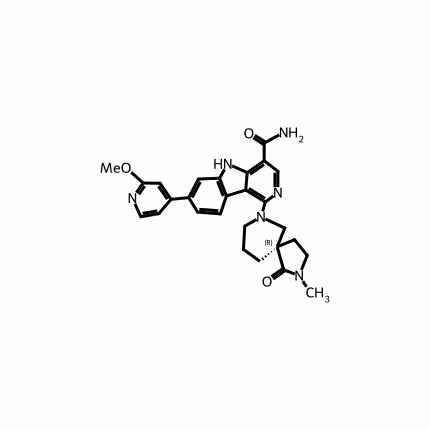 COc1cc(-c2ccc3c(c2)[nH]c2c(C(N)=O)cnc(N4CCC[C@@]5(CCN(C)C5=O)C4)c23)ccn1